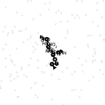 CN(C)CC(=O)N1CCOC(CNc2ccc(S(=O)(=O)NC(=O)c3ccc(C4=CCC(N5CCCC5c5ccccc5C5CC5)CC4)cc3Oc3cnc4[nH]ccc4c3)cc2[N+](=O)[O-])C1